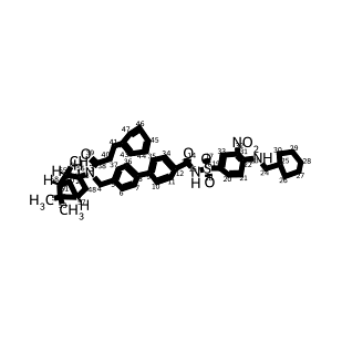 C[C@H]1[C@@H](N(Cc2ccc(-c3ccc(C(=O)NS(=O)(=O)c4ccc(NCC5CCCCC5)c([N+](=O)[O-])c4)cc3)cc2)C(=O)CCc2ccccc2)C[C@@H]2C[C@@H]1C2(C)C